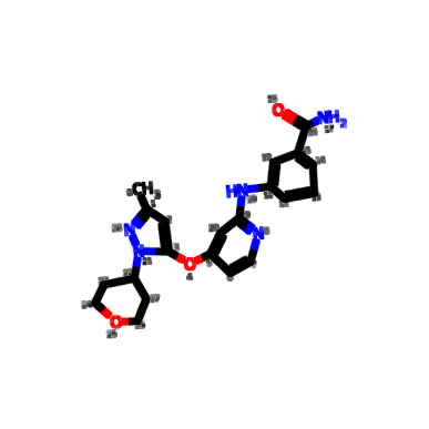 Cc1cc(Oc2ccnc(Nc3cccc(C(N)=O)c3)c2)n(C2CCOCC2)n1